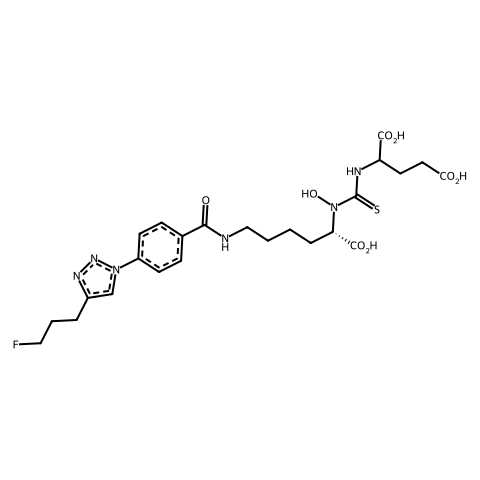 O=C(O)CCC(NC(=S)N(O)[C@@H](CCCCNC(=O)c1ccc(-n2cc(CCCF)nn2)cc1)C(=O)O)C(=O)O